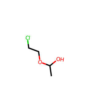 CC(O)OCCCl